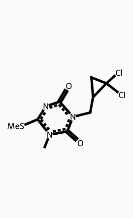 CSc1nc(=O)n(CC2CC2(Cl)Cl)c(=O)n1C